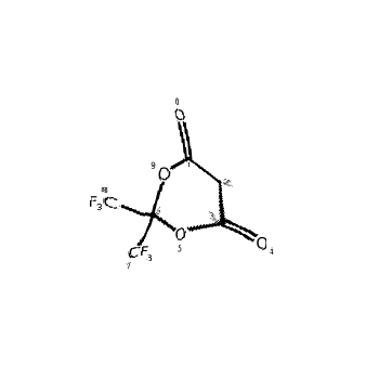 O=C1CC(=O)OC(C(F)(F)F)(C(F)(F)F)O1